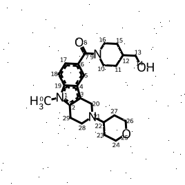 Cn1c2c(c3cc(C(=O)N4CCC(CO)CC4)ccc31)CN(C1CCOCC1)CC2